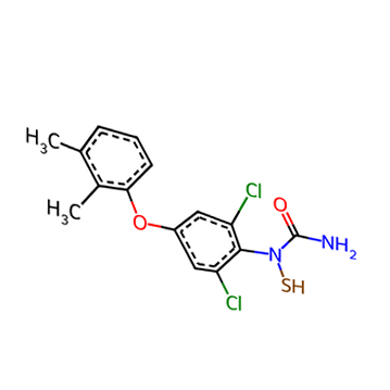 Cc1cccc(Oc2cc(Cl)c(N(S)C(N)=O)c(Cl)c2)c1C